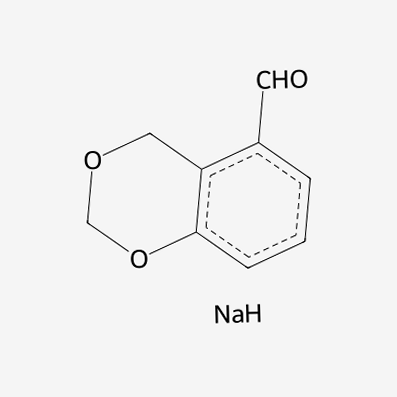 O=Cc1cccc2c1COCO2.[NaH]